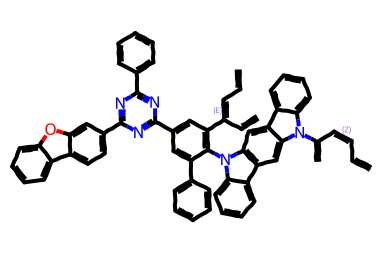 C=C/C=C\C(=C)n1c2ccccc2c2cc3c(cc21)c1ccccc1n3-c1c(/C(C=C)=C/C=C)cc(-c2nc(-c3ccccc3)nc(-c3ccc4c(c3)oc3ccccc34)n2)cc1-c1ccccc1